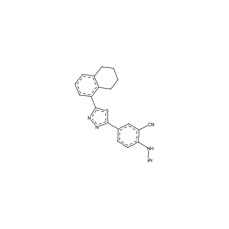 CC(C)Nc1ccc(-c2nnc(-c3cccc4c3CCCC4)s2)cc1C#N